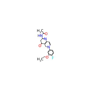 CCOc1cc(N2C=CC3=C(C2)C(=O)CC(NC(C)=O)=N3)ccc1F